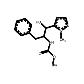 Cn1nccc1C(O)C(Cc1ccccc1)NC(=O)OC(C)(C)C